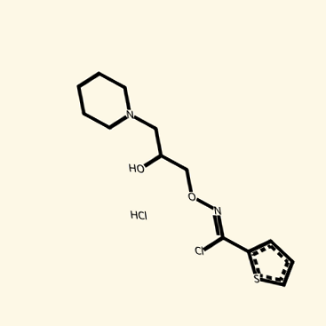 Cl.OC(CON=C(Cl)c1cccs1)CN1CCCCC1